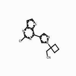 N#CCC1(n2cc(-c3nc(Cl)nc4ccsc34)cn2)CCC1